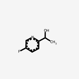 CC(O)c1ccc(F)cn1